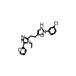 CCn1c(CCC2=CNN(c3cccc(Cl)c3)O2)nnc1-c1ccco1